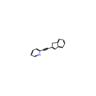 C(#Cc1ccccn1)C1=Cc2ccccc2C1